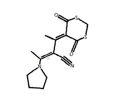 CC(=C1C(=O)SCSC1=O)/C(C#N)=C(\C)N1CCCC1